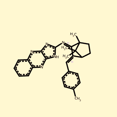 Cc1ccc(/C=C2/C(=N\c3nc4nc5ccccc5nc4[nH]3)C3(C)CCC2C3(C)C)cc1